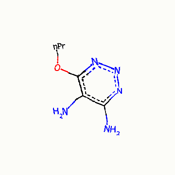 CCCOc1nnnc(N)c1N